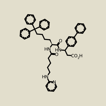 O=C(O)CC(NC(=O)[C@H](CCCCC(c1ccccc1)(c1ccccc1)c1ccccc1)NC(=O)CCCCNc1ccccn1)c1ccc(-c2ccccc2)cc1